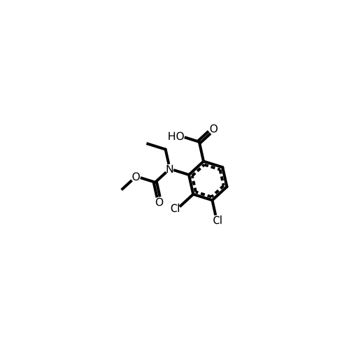 CCN(C(=O)OC)c1c(C(=O)O)ccc(Cl)c1Cl